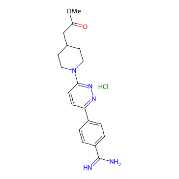 COC(=O)CC1CCN(c2ccc(-c3ccc(C(=N)N)cc3)nn2)CC1.Cl